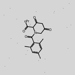 CCCC(=O)C1C(=O)CC(=O)CN1C(=O)c1c(C)cc(C)cc1C